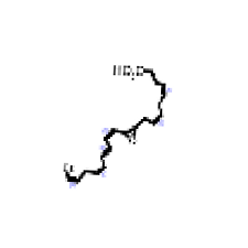 CC/C=C\C\C=C/C=C/C=C\C1OC1C/C=C\C/C=C\CCC(=O)O